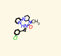 CN(C(=O)N[C@@H]1CC1c1cccc(Cl)c1)C1CCCN(c2ccccn2)C1